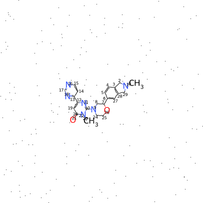 CN1Cc2ccc(C3CN(c4nc(-c5ccncn5)cc(=O)n4C)CCO3)cc2C1